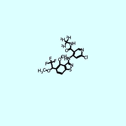 [2H]C([2H])([2H])NC(=O)c1cnc(Cl)cc1Nc1nsc2ccc(C(OC)C(F)(F)F)c(OC)c12